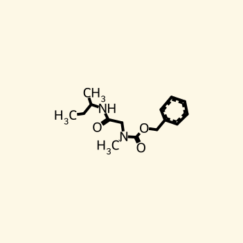 CCC(C)NC(=O)CN(C)C(=O)OCc1ccccc1